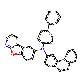 c1ccc(-c2ccc(N(c3ccc4ccc5ccccc5c4c3)c3ccc4oc5ncccc5c4c3)cc2)cc1